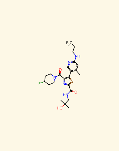 Cc1cc(NCCC(F)(F)F)ncc1-c1sc(C(=O)NCC(C)(C)O)nc1C(=O)N1CCC(F)CC1